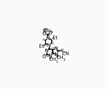 CC[C@@H]1CN(c2nc(=O)n(C)c3c2nc(CC#N)n3C)[C@@H](CC)CN1C(=O)OC(C)(C)C